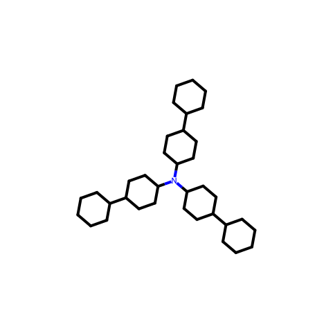 C1CCC(C2CCC(N(C3CCC(C4CCCCC4)CC3)C3CCC(C4CCCCC4)CC3)CC2)CC1